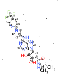 CC[C@@H](C)NC(=O)[C@H]1C[C@@H](n2cnc3c(N[C@H]4CCN(c5ccc(C(F)(F)F)cn5)C4)ncnc32)[C@H](O)[C@@H]1O